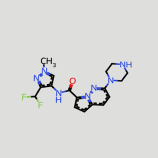 Cn1cc(NC(=O)c2ccc3ccc(N4CCNCC4)nn23)c(C(F)F)n1